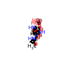 COc1cccc2[nH]c(C(=O)N3C[C@@H]4CCC[C@@H]4[C@H]3C(=O)NC(C[C@@H]3CCNC3=O)C(=O)COCOP(=O)(O)O)cc12